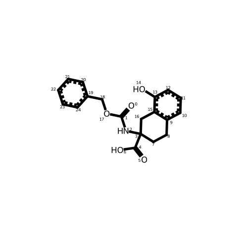 O=C(NC1(C(=O)O)CCc2cccc(O)c2C1)OCc1ccccc1